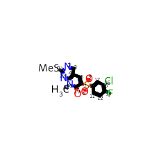 CSc1ncc2cc(S(=O)(=O)c3ccc(F)c(Cl)c3)c(=O)n(C)c2n1